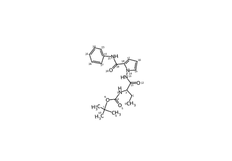 CCC(NC(=O)OC(C)(C)C)C(=O)Nn1cccc1C(=O)Nc1ccccc1